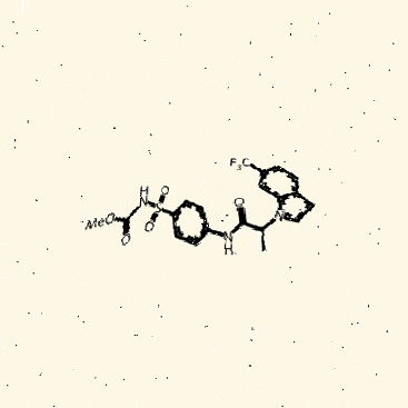 COC(=O)NS(=O)(=O)c1ccc(NC(=O)[C@H](C)n2ccc3ccc(C(F)(F)F)cc32)cc1